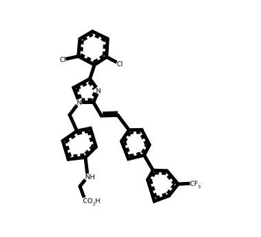 O=C(O)CNc1ccc(Cn2cc(-c3c(Cl)cccc3Cl)nc2C=Cc2ccc(-c3cccc(C(F)(F)F)c3)cc2)cc1